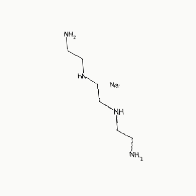 NCCNCCNCCN.[Na]